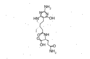 CC[C@@H](CC(=O)N[C@@H](CCC(N)=O)C(=O)O)[C@@H]1CNc2nc(N)nc(O)c2C1